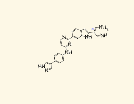 N=C/C(=C\N)c1cc2ccc(-c3nccc(Nc4ccc(-c5cn[nH]c5)cc4)n3)cc2[nH]1